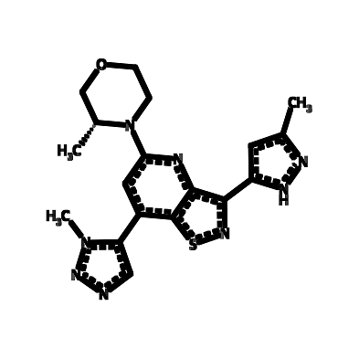 Cc1cc(-c2nsc3c(-c4cnnn4C)cc(N4CCOC[C@H]4C)nc23)[nH]n1